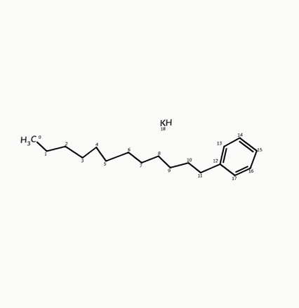 CCCCCCCCCCCCc1ccccc1.[KH]